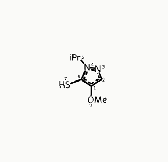 COc1cnn(C(C)C)c1S